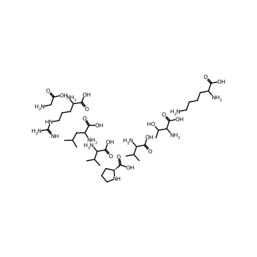 CC(C)C(N)C(=O)O.CC(C)C(N)C(=O)O.CC(C)CC(N)C(=O)O.CC(O)C(N)C(=O)O.N=C(N)NCCCC(N)C(=O)O.NCC(=O)O.NCCCCC(N)C(=O)O.O=C(O)[C@@H]1CCCN1